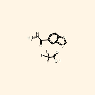 NNC(=O)c1ccc2ncsc2c1.O=C(O)C(F)(F)F